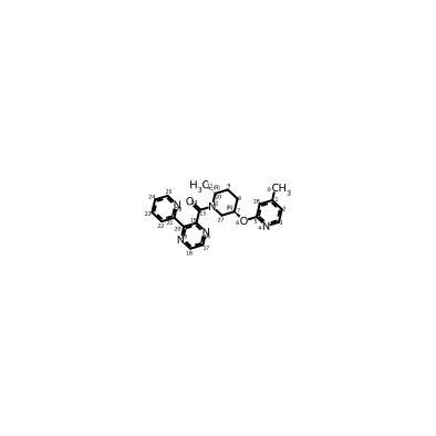 Cc1ccnc(O[C@@H]2CC[C@@H](C)N(C(=O)c3nccnc3-c3ccccn3)C2)c1